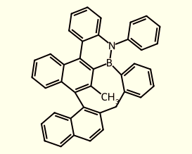 Cc1c2c3c4ccccc4c1-c1c(ccc4ccccc14)Cc1ccccc1B2N(c1ccccc1)c1ccccc1-3